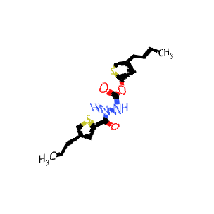 CCCCc1csc(OC(=O)NNC(=O)c2cc(CCCC)cs2)c1